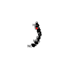 Cc1cc(O[C@H]2C(C)(C)[C@H](NC(=O)c3ccc(N4CCN(Cc5cc6c(cc5F)C(=O)N(C5CCC(=O)NC5=O)C6)CC4)nn3)C2(C)C)ccc1C#N